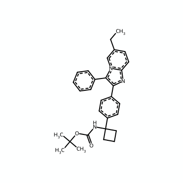 CCc1ccc2nc(-c3ccc(C4(NC(=O)OC(C)(C)C)CCC4)cc3)c(-c3ccccc3)n2c1